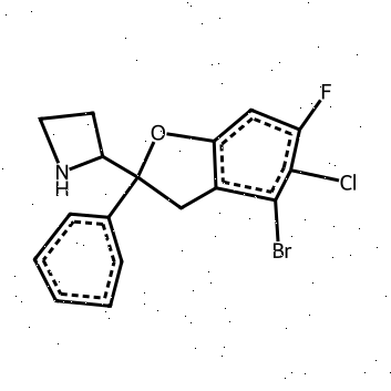 Fc1cc2c(c(Br)c1Cl)CC(c1ccccc1)(C1CCN1)O2